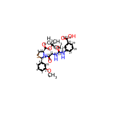 COc1cccc([C@H]2SC[C@@H](C(=O)OC(C)(C)C)N2C(=O)CNC(=O)Nc2cccc(C(=O)O)c2)c1